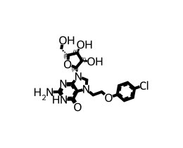 Nc1nc2c(c(=O)[nH]1)N(CCOc1ccc(Cl)cc1)CN2[C@@H]1O[C@H](CO)[C@@H](O)[C@H]1O